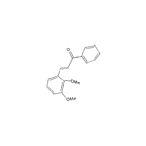 COc1cccc(C=CC(=O)c2ccccc2)c1OC